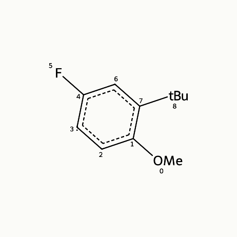 COc1c[c]c(F)cc1C(C)(C)C